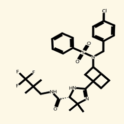 CC1(C)N=C(C23CCC2C(N(Cc2ccc(Cl)cc2)S(=O)(=O)c2ccccc2)C3)N[C@H]1C(=O)NCC(C)(C)C(F)(F)F